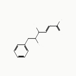 NC(Cc1ccccc1)C(O)C=CC(=O)O